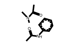 CC(=O)N(C)C.CC(=O)Nc1ccccc1